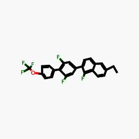 CCc1ccc2c(F)c(-c3cc(F)c(-c4ccc(OC(F)(F)F)cc4)c(F)c3)ccc2c1